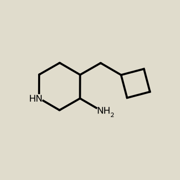 NC1CNCCC1CC1CCC1